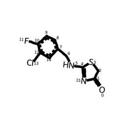 O=C1CSC(NCc2ccc(F)c(Cl)c2)=N1